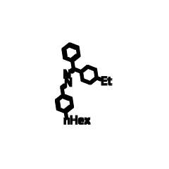 CCCCCCc1ccc(C=NN=C(c2ccccc2)C2CCC(CC)CC2)cc1